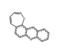 C1=Cc2ccc3nc4ccccc4cc3c2ON=C1